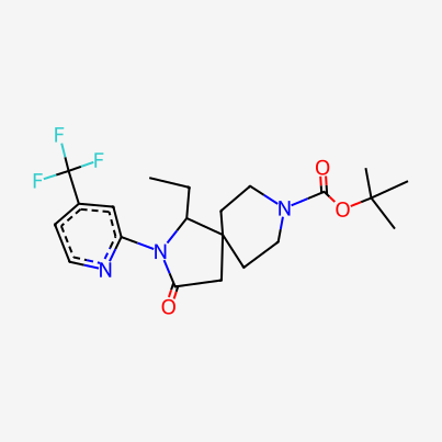 CCC1N(c2cc(C(F)(F)F)ccn2)C(=O)CC12CCN(C(=O)OC(C)(C)C)CC2